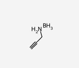 B.C#CCN